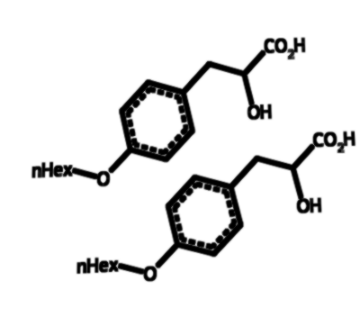 CCCCCCOc1ccc(CC(O)C(=O)O)cc1.CCCCCCOc1ccc(CC(O)C(=O)O)cc1